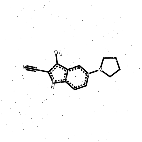 Cc1c(C#N)[nH]c2ccc(N3CCCC3)cc12